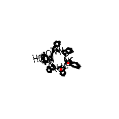 C[C@@H](c1ccccc1)N1CC(=O)N(C2CC(C)(C)N(O)C(C)(C)C2)CC(=O)N([C@@H](C)c2ccccc2)CC(=O)N([C@@H](C)c2ccccc2)CC(=O)N([C@@H](C)c2ccccc2)CC(=O)N([C@@H](C)c2ccccc2)CC1=O